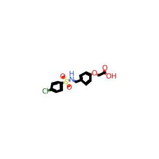 O=C(O)COc1ccc(CNS(=O)(=O)c2ccc(Cl)cc2)cc1